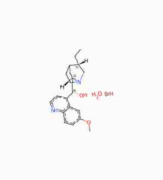 Br.CC[C@@H]1CN2CCC1C[C@H]2[C@H](O)c1ccnc2ccc(OC)cc12.O